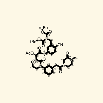 CC(=O)O[C@@H](C(=O)Nc1ccc(C#N)c(CN(C(=O)OC(C)(C)C)C(=O)OC(C)(C)C)c1)[C@H]1OCCN(c2cccc(CC(=O)N3CCN(C)C(=O)C3)c2)C1=O